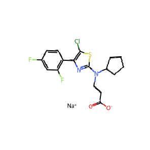 O=C([O-])CCN(c1nc(-c2ccc(F)cc2F)c(Cl)s1)C1CCCC1.[Na+]